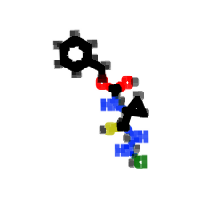 O=C(NC1(C(=S)NNCl)CC1)OCc1ccccc1